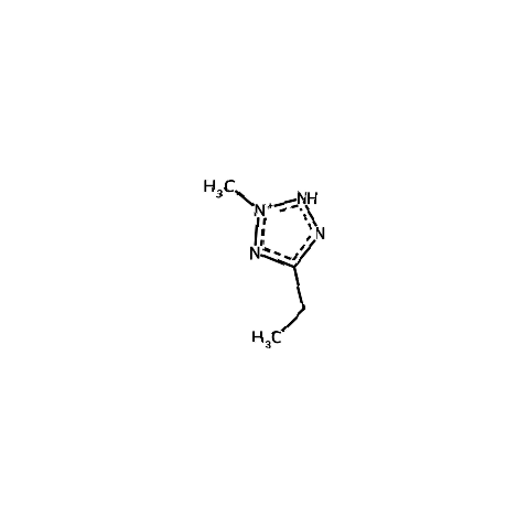 CCc1n[nH][n+](C)n1